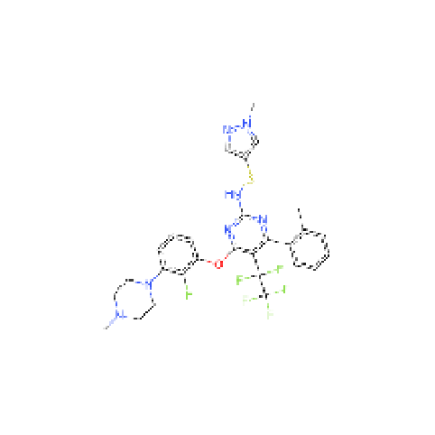 Cc1ccccc1-c1nc(NSc2cnn(C)c2)nc(Oc2cccc(N3CCN(C)CC3)c2F)c1C(F)(F)C(F)(F)F